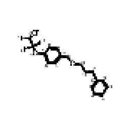 FC(C(F)(F)F)C(F)(F)Oc1ccc(COCCCc2ccccc2)cc1